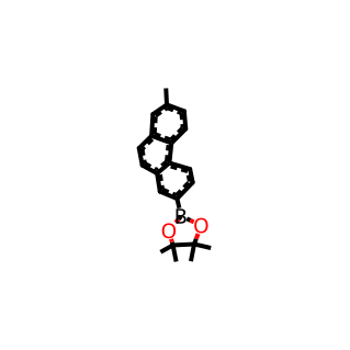 Cc1ccc2c(ccc3cc(B4OC(C)(C)C(C)(C)O4)ccc32)c1